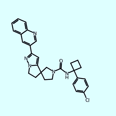 O=C(NC1(c2ccc(Cl)cc2)CCC1)N1CCC2(CCn3nc(-c4cnc5ccccc5c4)cc32)C1